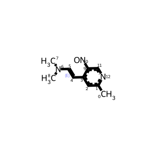 Cc1cc(/C=C/N(C)C)c(N=O)cn1